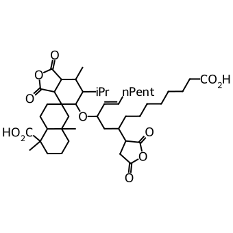 CCCCC/C=C/C(CC(CCCCCCCC(=O)O)C1CC(=O)OC1=O)OC1C(C(C)C)C(C)C2C(=O)OC(=O)C2C12CCC1C(C)(CCCC1(C)C(=O)O)C2